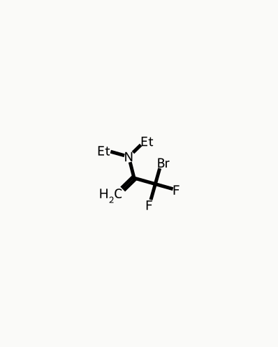 C=C(N(CC)CC)C(F)(F)Br